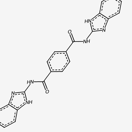 O=C(Nc1nc2ccccc2[nH]1)c1ccc(C(=O)Nc2nc3ccccc3[nH]2)cc1